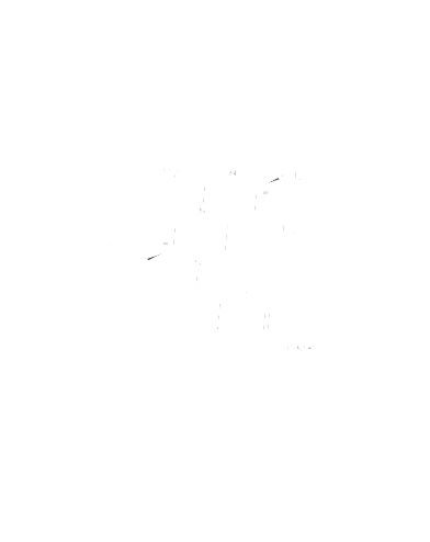 COc1ccc(CN2CC3=C(C)[C@H](C)N=C(C)N3C[C@@H]2CO)cc1